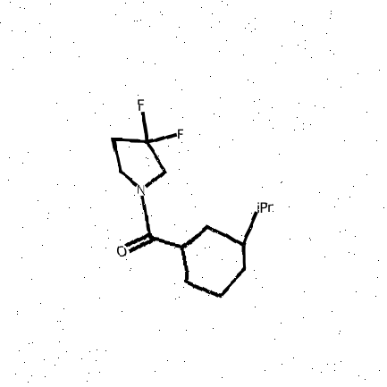 CC(C)C1CCCC(C(=O)N2CCC(F)(F)C2)C1